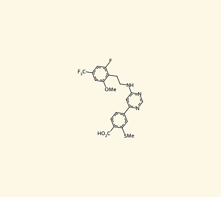 COc1cc(C(F)(F)F)cc(F)c1CCNc1cc(-c2ccc(C(=O)O)c(SC)c2)ncn1